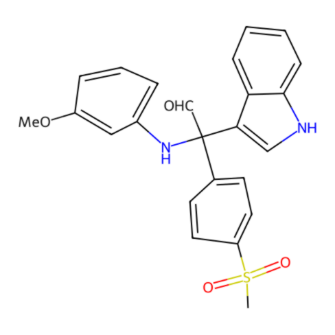 COc1cccc(NC(C=O)(c2ccc(S(C)(=O)=O)cc2)c2c[nH]c3ccccc23)c1